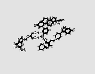 CC#C[C@]1(O)CC[C@H]2[C@@H]3CCC4=CC(=O)CCC4=C3[C@@H](c3ccc(N(C)C)cc3)C[C@@]21C.Cc1nc2n(c(=O)c1CCN1CCC(c3noc4cc(F)ccc34)CC1)CCCC2.Nc1nc2c(ncn2COC(CO)CO)c(=O)[nH]1